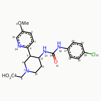 COc1ccc(C2CN(CC(=O)O)CCC2NC(=O)Nc2ccc(Cl)cc2)nc1